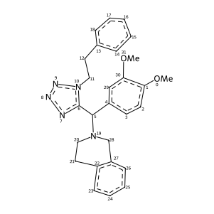 COc1ccc(C(c2nnnn2CCc2ccccc2)N2CCc3ccccc3C2)cc1OC